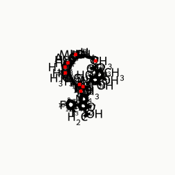 C=C(O)c1cn(-c2ccc(F)cc2F)c2nc(N3CCC(N(C)/N=C/c4c5c(O)c6c(O)c(C)c7c(c6c4O)C(=O)[C@@](C)(O/C=C/[C@H](OC)[C@@H](C)[C@@H](OC(C)=O)[C@H](C)[C@H](O)[C@H](C)[C@@H](O)[C@@H](C)/C=C/C=C(/C)C(=O)N5)O7)C3)c(F)cc2c1=O